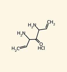 C=CC(N)C(=O)C(N)C=C.Cl